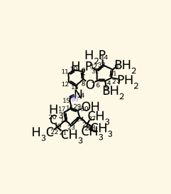 Bc1c(P)c(B)c(Oc2ccccc2/N=C/c2cc(C(C)(C)C)cc(C(C)(C)C)c2O)c(P)c1P